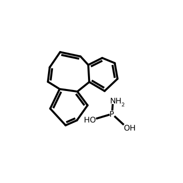 C1=C\c2ccccc2-c2ccccc2\C=C/1.NP(O)O